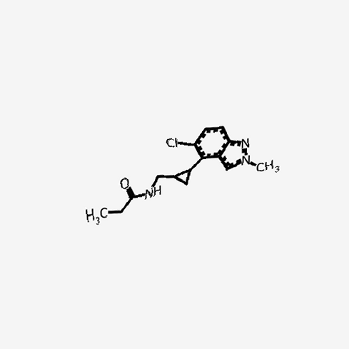 CCC(=O)NCC1CC1c1c(Cl)ccc2nn(C)cc12